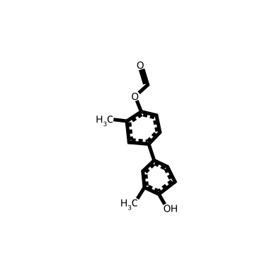 Cc1cc(-c2ccc(OC=O)c(C)c2)ccc1O